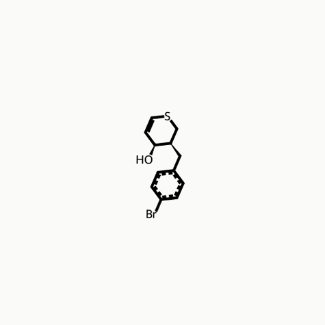 O[C@H]1C=CSC[C@H]1Cc1ccc(Br)cc1